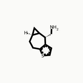 NC[C@@H]1c2ccsc2CC[C@H]2CC21